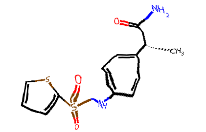 C[C@@H](C(N)=O)c1ccc(NS(=O)(=O)c2cccs2)cc1